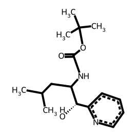 CC(C)CC(NC(=O)OC(C)(C)C)[C@@H](O)c1ccccn1